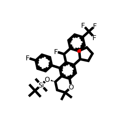 CC1(C)C[C@H](O[Si](C)(C)C(C)(C)C)c2c(cc(C3CCCC3)c(C(F)c3ccc(C(F)(F)F)cc3)c2-c2ccc(F)cc2)O1